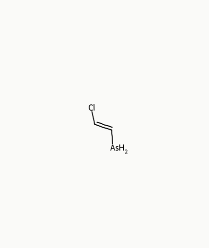 ClC=C[AsH2]